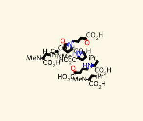 CC(C)C[C@H](NCCCC(=O)C(=O)O)C(=O)O.CN[C@@H](C)C(=O)O.CN[C@@H](CC(C)C)C(=O)O.CN[C@@H](CC(C)C)C(=O)O.O=C(O)C(=O)CCCN1C(=O)CC[C@H]1C(=O)O.O=C(O)[C@@H]1CCCN1